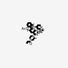 C=CC(=O)N1CCN(c2nc(=O)n(-c3c(C(C)C)ccnc3S(C)(=O)=O)c3nc(-c4c(F)cccc4OC(C)=O)c(F)cc23)[C@@H](C)C1